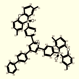 C=C(/C=C\C(=C/C)P1(=O)c2cc(C)ccc2Oc2ccc(C)cc21)c1cc(-c2ccc(-c3ccccc3)cc2)cc(-c2ccc(P3(=O)c4cc(C)ccc4Oc4ccc(C)cc43)cc2)n1